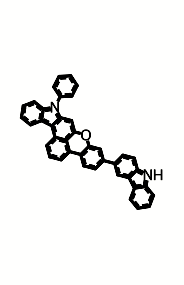 c1ccc(-n2c3ccccc3c3c4cccc5c4c(cc32)Oc2cc(-c3ccc4[nH]c6ccccc6c4c3)ccc2-5)cc1